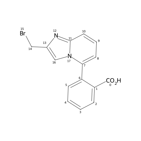 O=C(O)c1ccccc1-c1cccc2nc(CBr)cn12